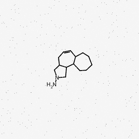 NN1CC2CC=CC3CCCCCC3C2C1